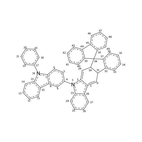 C1=c2c(n(-c3ccc4c(c3)c3ccccc3n4-c3ccccc3)c3ccccc23)=CC2C1c1ccccc1C21c2ccccc2-c2ccccc21